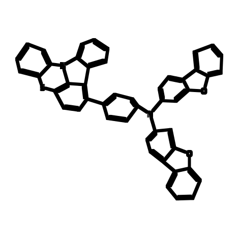 c1ccc2c(c1)Sc1ccc(-c3ccc(N(c4ccc5c(c4)oc4ccccc45)c4ccc5c(c4)oc4ccccc45)cc3)c3c4ccccc4n-2c13